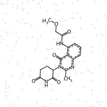 COCC(=O)Nc1cccc2nc(C)n(C3CCC(=O)NC3=O)c(=O)c12